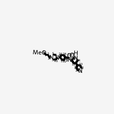 COCCCN1CCN(c2ccc(C(=O)Nc3cc(C4=C=C=NC=C4)c[nH]c3=O)cc2)CC1